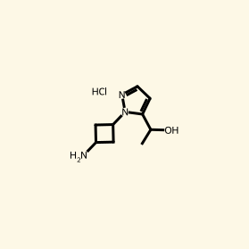 CC(O)c1ccnn1C1CC(N)C1.Cl